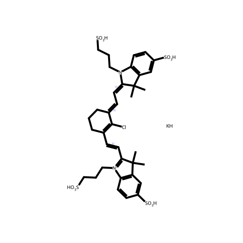 CC1(C)C(/C=C/C2=C(Cl)C(=C/C=C3/N(CCCS(=O)(=O)O)c4ccc(S(=O)(=O)O)cc4C3(C)C)/CCC2)=[N+](CCCS(=O)(=O)O)c2ccc(S(=O)(=O)O)cc21.[KH]